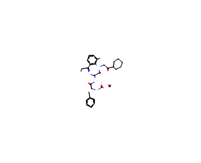 CCC1=NC(NC(=O)[C@H](Cc2ccccc2)NC(=O)OC(C)(C)C)C(=O)N(CC(=O)C2CCCCC2)c2c(C)cccc21